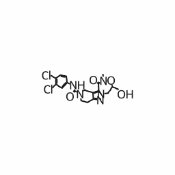 CN1OC(CO)Cn2nc3c(c2C1=O)CN(C(=O)Nc1ccc(Cl)c(Cl)c1)CC3